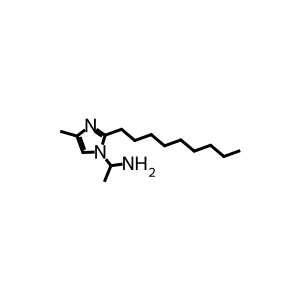 CCCCCCCCCc1nc(C)cn1C(C)N